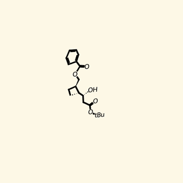 CC(C)(C)OC(=O)C[C@@H](O)[C@@H]1CC[C@H]1COC(=O)c1ccccc1